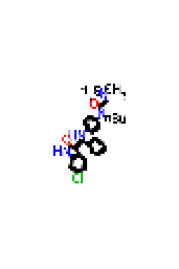 CCCCN(C(=O)CN(C)C)c1ccc(N/C(=C2\C(=O)Nc3cc(Cl)ccc32)c2ccccc2)cc1